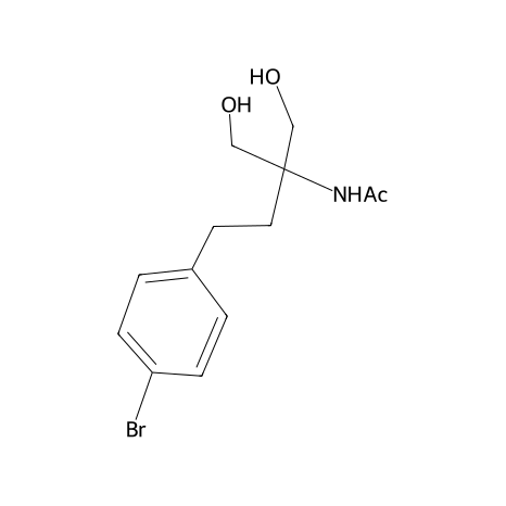 CC(=O)NC(CO)(CO)CCc1ccc(Br)cc1